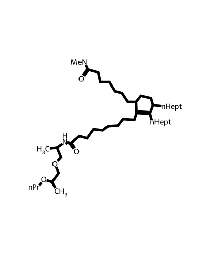 CCCCCCCC1=C(CCCCCCCCC(=O)NC(C)COCC(C)OCCC)C(CCCCCCC(=O)NC)CCC1CCCCCCC